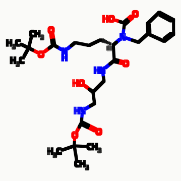 CC(C)(C)OC(=O)NCCC[C@@H](C(=O)NCC(O)CNC(=O)OC(C)(C)C)N(Cc1ccccc1)C(=O)O